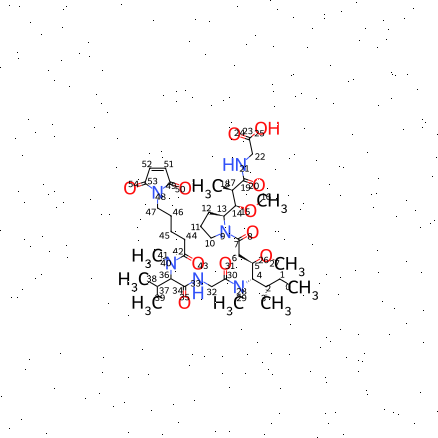 CC[C@H](C)[C@@H]([C@@H](CC(=O)N1CCC[C@H]1[C@H](OC)[C@@H](C)C(=O)NCC(=O)O)OC)N(C)C(=O)CNC(=O)C(C(C)C)N(C)C(=O)CCCCN1C(=O)C=CC1=O